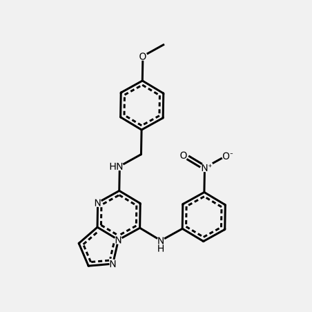 COc1ccc(CNc2cc(Nc3cccc([N+](=O)[O-])c3)n3nccc3n2)cc1